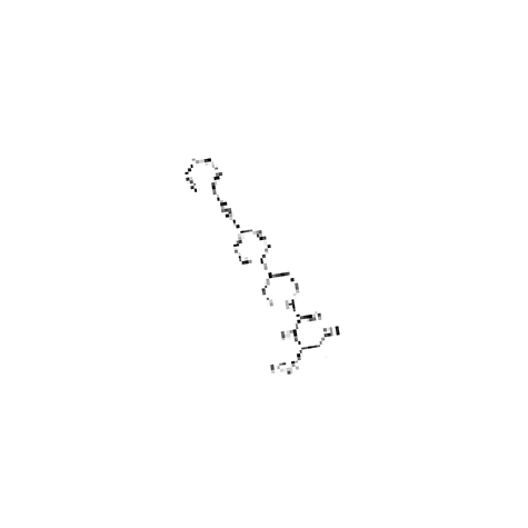 C[C@@H](O)[C@H](NC(=O)N1CCC(c2ccc(C#Cc3ccccc3)cc2)CC1)C(=O)O